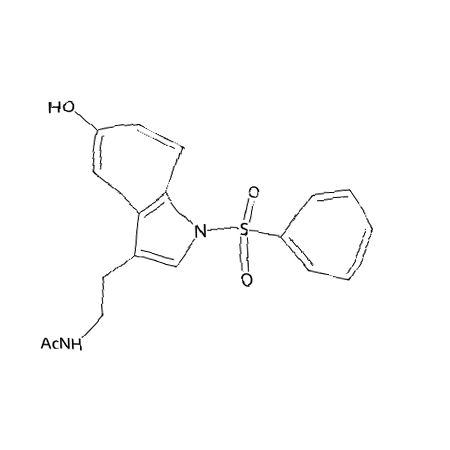 CC(=O)NCCc1cn(S(=O)(=O)c2ccccc2)c2ccc(O)cc12